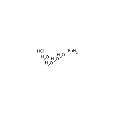 Cl.O.O.O.O.[BaH2]